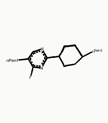 CCCCCc1cnc(C2CCC(CCCCC)CC2)nc1F